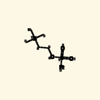 CCS(=O)(=O)OCC[Si](C)(C)C